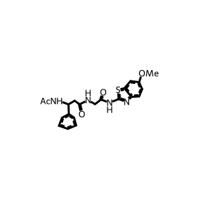 COc1ccc2nc(NC(=O)CNC(=O)CC(NC(C)=O)c3ccccc3)sc2c1